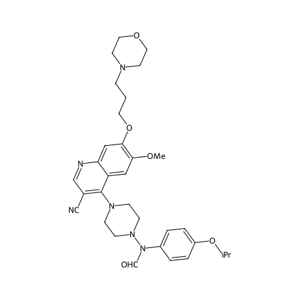 COc1cc2c(N3CCN(N(C=O)c4ccc(OC(C)C)cc4)CC3)c(C#N)cnc2cc1OCCCN1CCOCC1